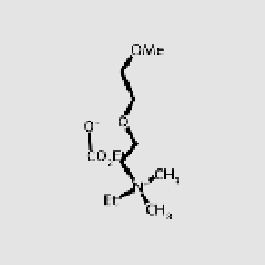 CCOC(=O)[O-].CC[N+](C)(C)CCOCCOC